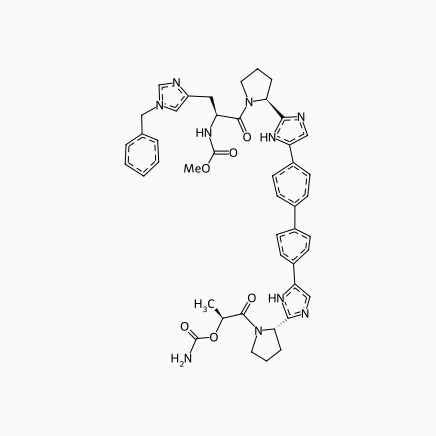 COC(=O)N[C@@H](Cc1cn(Cc2ccccc2)cn1)C(=O)N1CCC[C@H]1c1ncc(-c2ccc(-c3ccc(-c4cnc([C@@H]5CCCN5C(=O)[C@H](C)OC(N)=O)[nH]4)cc3)cc2)[nH]1